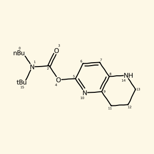 CCCCN(C(=O)Oc1ccc2c(n1)CCCN2)C(C)(C)C